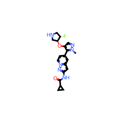 Cn1ncc(O[C@H]2CNC[C@@H]2F)c1-c1ccn2nc(NC(=O)C3CC3)cc2c1